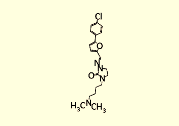 CN(C)CCCCN1CCN(N=Cc2ccc(-c3ccc(Cl)cc3)o2)C1=O